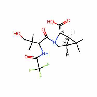 CC(C)(CO)C(NC(=O)C(F)(F)F)C(=O)N1C[C@H]2[C@@H]([C@H]1C(=O)O)C2(C)C